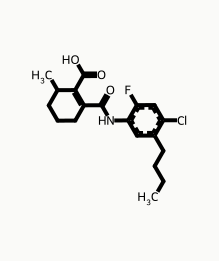 CCCCc1cc(NC(=O)C2=C(C(=O)O)C(C)CCC2)c(F)cc1Cl